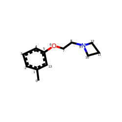 Cc1cccc(OCCN2CCC2)c1